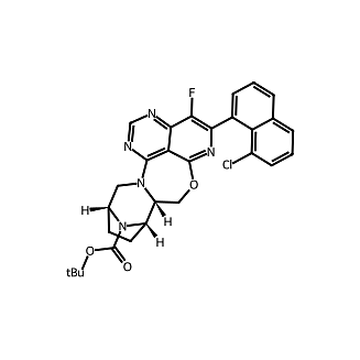 CC(C)(C)OC(=O)N1[C@@H]2CC[C@H]1[C@H]1COc3nc(-c4cccc5cccc(Cl)c45)c(F)c4ncnc(c34)N1C2